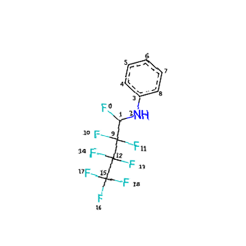 FC(Nc1ccccc1)C(F)(F)C(F)(F)C(F)(F)F